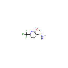 CN[C@@H]1COc2nc(C(F)(F)F)ccc21